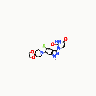 Cn1nc(-n2ccc(=O)[nH]c2=O)c2cc(F)c(N3CCC4(CC3)OCCO4)cc21